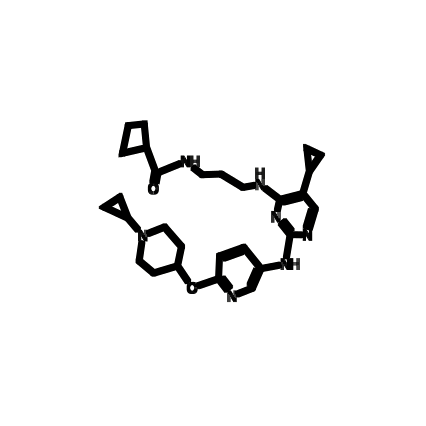 O=C(NCCCNc1nc(Nc2ccc(OC3CCN(C4CC4)CC3)nc2)ncc1C1CC1)C1CCC1